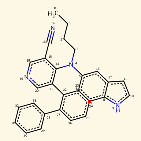 CCCCN(c1ccc2[nH]ccc2c1)c1c(C#N)cncc1-c1ccccc1-c1ccccc1